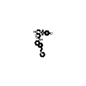 O=C(CC1C(=O)NCCN1S(=O)(=O)c1ccc(Cl)cc1)N[C@@H]1CCCc2cc(CCN3CCCCC3)ccc21